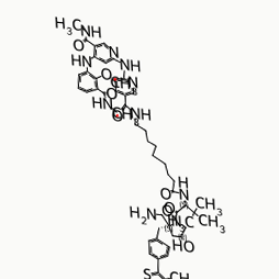 CNC(=O)c1cnc(Nc2ccc(C(=O)NCCCCCCCCC(=O)N[C@H](C(=O)N3C[C@H](O)C[C@@]3(Cc3ccc(-c4scnc4C)cc3)C(N)=O)C(C)(C)C)cn2)cc1Nc1cccc(C(=O)NC)c1OC